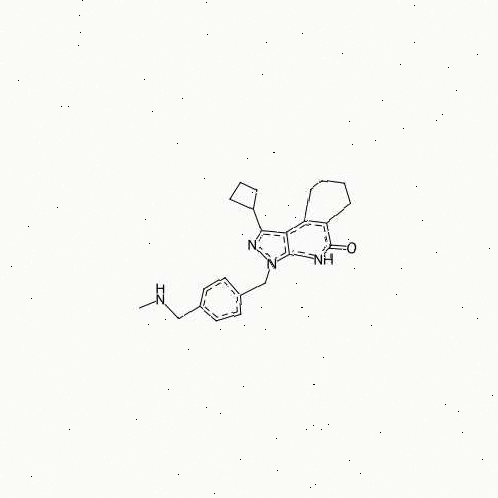 CNCc1ccc(Cn2nc(C3CCC3)c3c4c(c(=O)[nH]c32)CCCC4)cc1